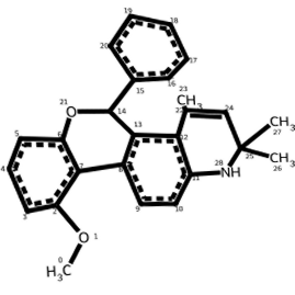 COc1cccc2c1-c1ccc3c(c1C(c1[c]cccc1)O2)C(C)=CC(C)(C)N3